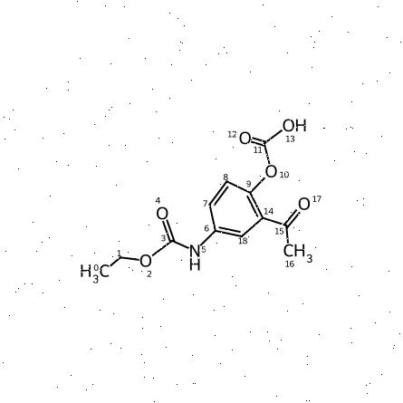 CCOC(=O)Nc1ccc(OC(=O)O)c(C(C)=O)c1